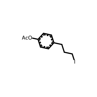 CC(=O)Oc1ccc(CCCI)cc1